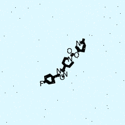 Cc1ccc(OC(=O)N2CCC(c3noc(-c4ccc(F)cc4)n3)CC2)cn1